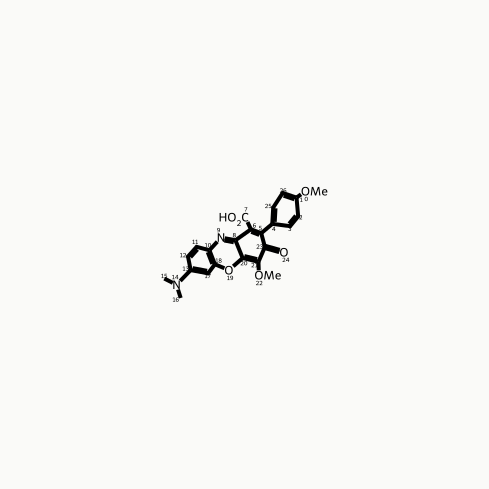 COc1ccc(-c2c(C(=O)O)c3nc4ccc(N(C)C)cc4oc-3c(OC)c2=O)cc1